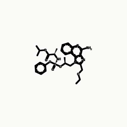 CCOCc1nc2c(N)nc3ccccc3c2n1C[C@H](C)O[P@](=O)(N[C@@H](C)C(=O)OC(C)C)Oc1ccccc1